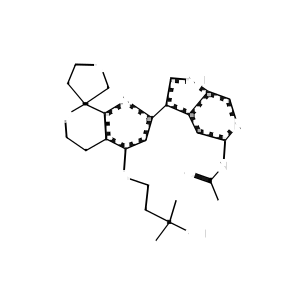 CC(=O)Nc1cc2c(-c3cc(OCCC(C)(C)O)c4c(n3)C3(CCOC3)OCC4)c[nH]c2cn1